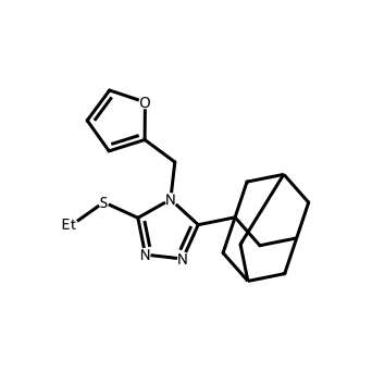 CCSc1nnc(C23CC4CC(CC(C4)C2)C3)n1Cc1ccco1